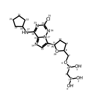 OP(O)CP(O)OCC1CC[C@H](c2cnc3c(NC4CCCC4)nc(Cl)nn23)O1